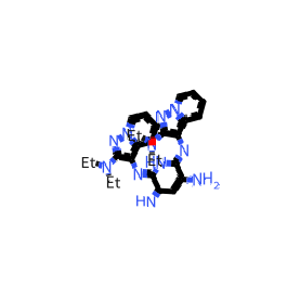 CCN(CC)c1nn2ccccc2c1/N=C1\N/C(=N\c2c(N(CC)CC)nn3ccccc23)C(N)=CC1=N